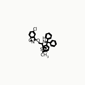 Cc1ncc(C(COc2noc3ccc(Cl)cc23)NC(c2ccccc2)(c2ccccc2)c2ccccc2)s1